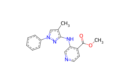 COC(=O)c1ccncc1Nc1nn(-c2ccccc2)cc1C